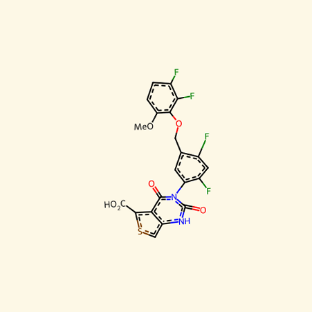 COc1ccc(F)c(F)c1OCc1cc(-n2c(=O)[nH]c3csc(C(=O)O)c3c2=O)c(F)cc1F